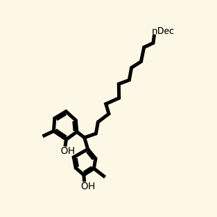 CCCCCCCCCCCCCCCCCCCCCC(c1ccc(O)c(C)c1)c1cccc(C)c1O